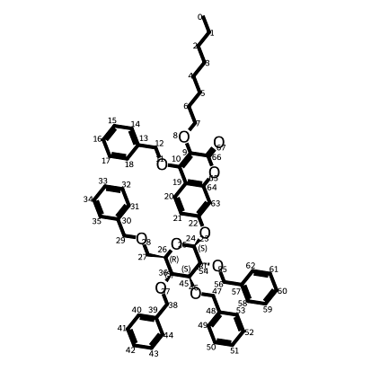 CCCCCCCCOc1c(OCc2ccccc2)c2ccc(O[C@@H]3O[C@H](COCc4ccccc4)[C@H](OCc4ccccc4)[C@H](OCc4ccccc4)[C@H]3OCc3ccccc3)cc2oc1=O